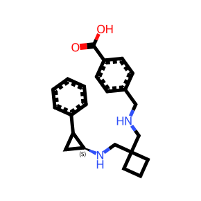 O=C(O)c1ccc(CNCC2(CN[C@H]3CC3c3ccccc3)CCC2)cc1